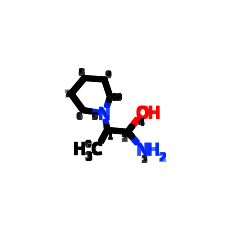 CC(C(N)O)N1CCCCC1